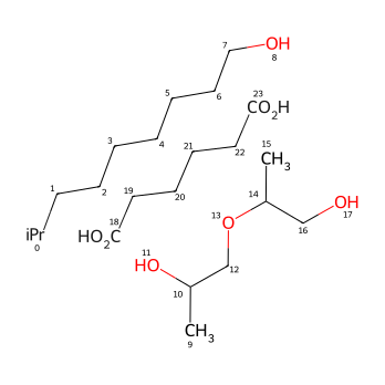 CC(C)CCCCCCCO.CC(O)COC(C)CO.O=C(O)CCCCC(=O)O